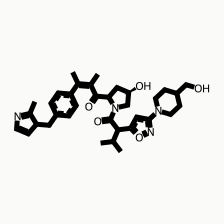 CC1=NC=CC1Cc1ccc(/C(C)=C(/C)C(=O)C2C[C@@H](O)CN2C(=O)C(c2cc(N3CCC(CO)CC3)no2)C(C)C)cc1